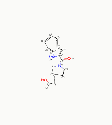 CC(O)CC1CCN(C(=O)c2cc3ccccc3[nH]2)CC1